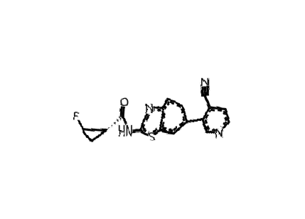 N#Cc1ccncc1-c1ccc2nc(NC(=O)[C@@H]3CC3F)sc2c1